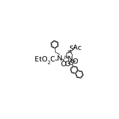 CCOC(=O)CN(CCc1ccccc1)C(=O)[C@@H]1C[C@@H](SC(C)=O)CN1S(=O)(=O)c1ccc2ccccc2c1